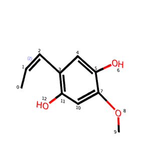 C/C=C\c1cc(O)c(OC)cc1O